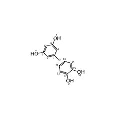 Cc1cc(O)cc(O)c1.Oc1ccccc1O